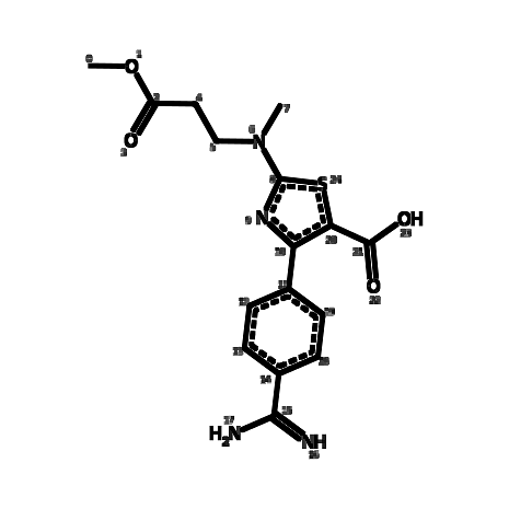 COC(=O)CCN(C)c1nc(-c2ccc(C(=N)N)cc2)c(C(=O)O)s1